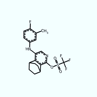 Cc1cc(Nc2cnc(OS(=O)(=O)C(F)(F)F)c3c2C2CCC3CC2)ccc1F